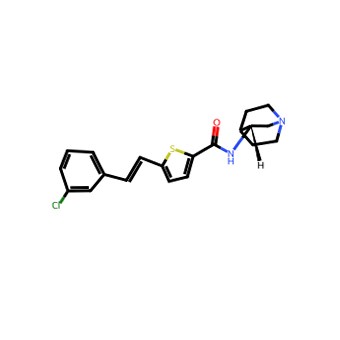 O=C(N[C@H]1CN2CCC1CC2)c1ccc(/C=C/c2cccc(Cl)c2)s1